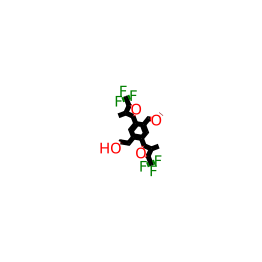 COCc1cc(C2OC(C(F)(F)F)C2C)c(CCO)cc1C1OC(C(F)(F)F)C1C